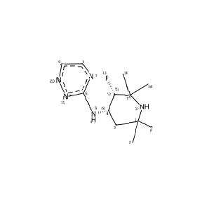 CC1(C)C[C@H](Nc2nccnn2)[C@H](F)C(C)(C)N1